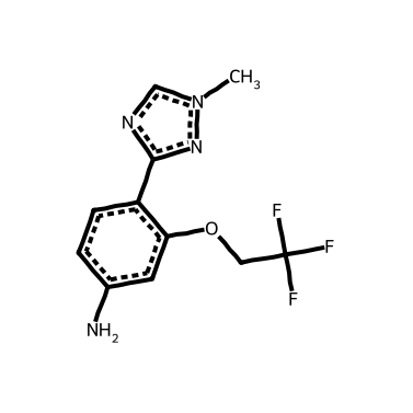 Cn1cnc(-c2ccc(N)cc2OCC(F)(F)F)n1